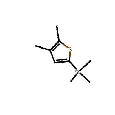 Cc1[c]c([Si](C)(C)C)sc1C